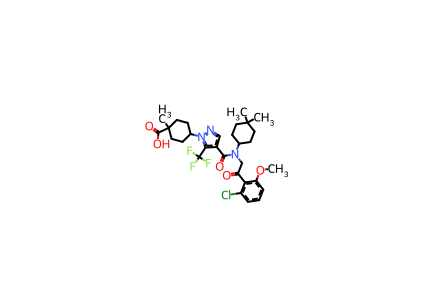 COc1cccc(Cl)c1C(=O)CN(C(=O)c1cnn(C2CCC(C)(C(=O)O)CC2)c1C(F)(F)F)C1CCC(C)(C)CC1